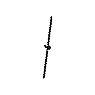 [CH2]CCc1c(OCCCCCCCCCCCCCCCCCCCCCCC)cccc1OCCCCCCCCCCCCCCCCCCCCCCC